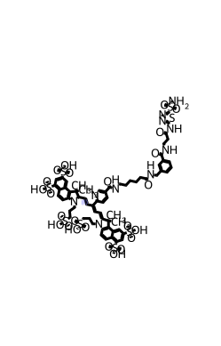 CC1(C)C(=CC=C(/C=C/C2N(CCCS(=O)(=O)O)c3ccc4c(S(=O)(=O)O)cc(S(=O)(=O)O)cc4c3C2(C)C)c2ccc(C(=O)NCCCCCC(=O)NCc3cccc(C(=O)NCCC(=O)Nc4nnc(S(N)(=O)=O)s4)c3)cn2)N(CCCS(=O)(=O)O)c2ccc3c(S(=O)(=O)O)cc(S(=O)(=O)O)cc3c21